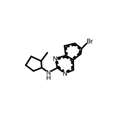 CC1CCCC1Nc1ncc2cc(Br)ccc2n1